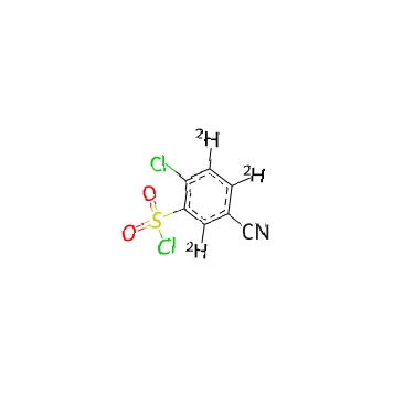 [2H]c1c([2H])c(C#N)c([2H])c(S(=O)(=O)Cl)c1Cl